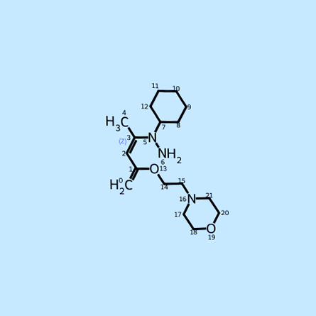 C=C(/C=C(/C)N(N)C1CCCCC1)OCCN1CCOCC1